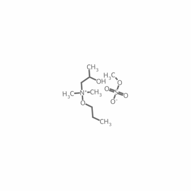 CCCO[N+](C)(C)CC(C)O.COS(=O)(=O)[O-]